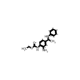 CCOC(=O)Nc1ccc(C(C)Nc2ccccc2)cc1N